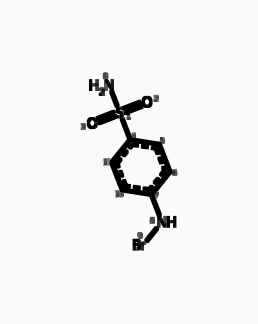 NS(=O)(=O)c1ccc(NBr)cc1